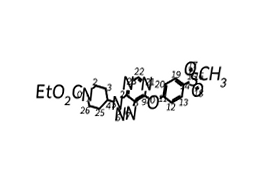 CCOC(=O)N1CCC(n2nnc3c(Oc4ccc(S(C)(=O)=O)cc4)ncnc32)CC1